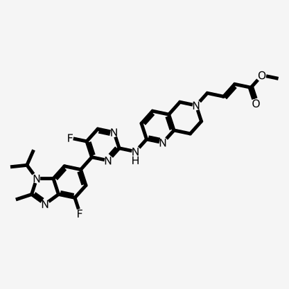 COC(=O)/C=C/CN1CCc2nc(Nc3ncc(F)c(-c4cc(F)c5nc(C)n(C(C)C)c5c4)n3)ccc2C1